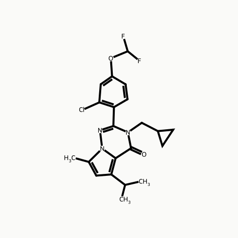 Cc1cc(C(C)C)c2c(=O)n(CC3CC3)c(-c3ccc(OC(F)F)cc3Cl)nn12